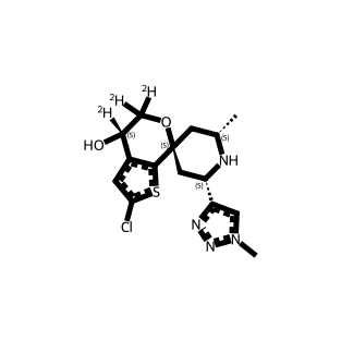 [2H]C1([2H])O[C@@]2(C[C@@H](c3cn(C)nn3)N[C@@H](C)C2)c2sc(Cl)cc2[C@]1([2H])O